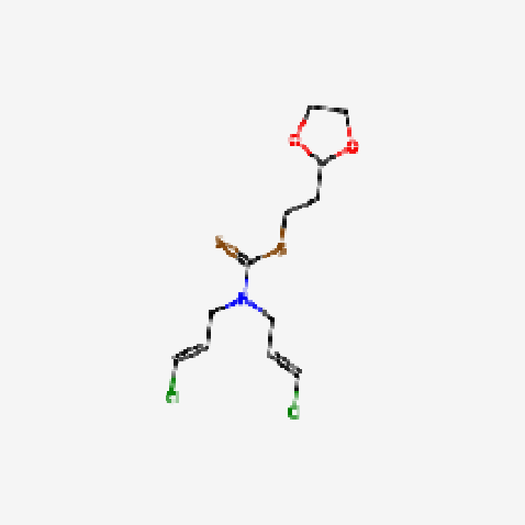 S=C(SCCC1OCCO1)N(CC=CCl)CC=CCl